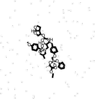 CCOC(=O)[C@H](C)OP(=O)(COc1ccc(C[C@H](NC(=O)O[C@H]2CO[C@H]3OCCC32)[C@H](O)CN(CC(C)C)S(=O)(=O)c2ccc(OC)cc2)cc1)Oc1ccccc1